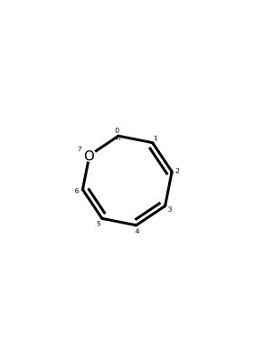 [C]1\C=C/C=C\C=C/O1